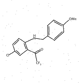 COc1ccc(CNc2ccc(Cl)cc2C(=O)C(F)(F)F)cc1